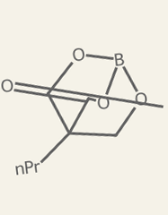 CCCC12COB(OC1)OC2=O